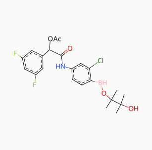 CC(=O)OC(C(=O)Nc1ccc(BOC(C)(C)C(C)(C)O)c(Cl)c1)c1cc(F)cc(F)c1